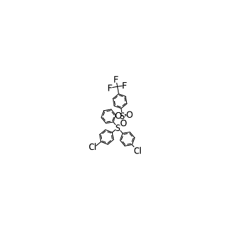 O=S(=O)(OS(c1ccccc1)(c1ccc(Cl)cc1)c1ccc(Cl)cc1)c1ccc(C(F)(F)F)cc1